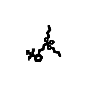 CCCCOC([O])(CCCC1=C([Si](F)(F)F)C=CC1)OCCCC